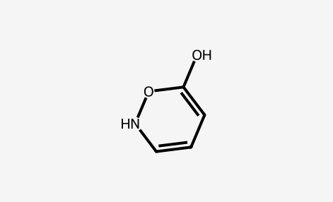 OC1=CC=CNO1